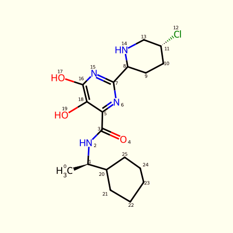 C[C@@H](NC(=O)c1nc(C2CC[C@@H](Cl)CN2)nc(O)c1O)C1CCCCC1